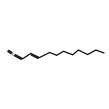 [CH]=C=CC=CCCCCCCCC